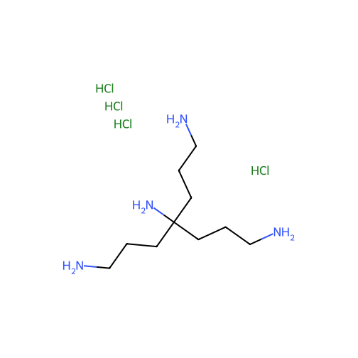 Cl.Cl.Cl.Cl.NCCCC(N)(CCCN)CCCN